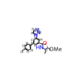 COCC(C)NC(=O)c1cc(-c2ccc(C)cc2)cc(-n2ccnn2)c1